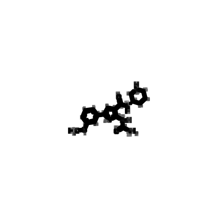 COc1cccc(-c2cc(C(=O)N[C@H]3CCCNC3)c([AsH]C(N)=O)s2)c1